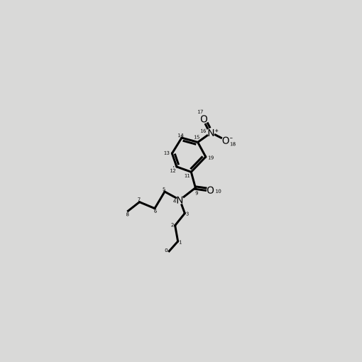 CCCCN(CCCC)C(=O)c1[c]ccc([N+](=O)[O-])c1